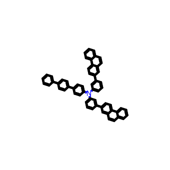 c1ccc(-c2ccc(-c3ccc(N(c4cccc(-c5ccc6c(ccc7ccccc76)c5)c4)c4cccc(-c5ccc6c(ccc7ccccc76)c5)c4)cc3)cc2)cc1